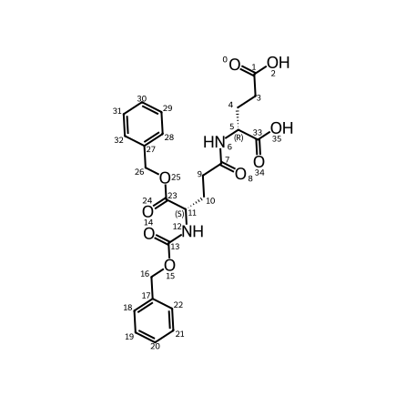 O=C(O)CC[C@@H](NC(=O)CC[C@H](NC(=O)OCc1ccccc1)C(=O)OCc1ccccc1)C(=O)O